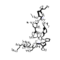 CSCCC(NC(=O)C(CS)NC(=O)C(CO)N/C(S)=C1/N=C(C2CCCN2C(=O)C(Cc2ccc(C)cc2)NC(=O)C(CS)NC(=O)C(CO)NC(=O)CN/C(S)=C2/N=C(C(=O)CC(C)C)C=C2O)C=C1O)C(C)=O